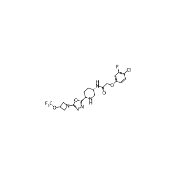 O=C(COc1ccc(Cl)c(F)c1)N[C@H]1CC[C@H](c2nnc(N3CC(OC(F)(F)F)C3)o2)NC1